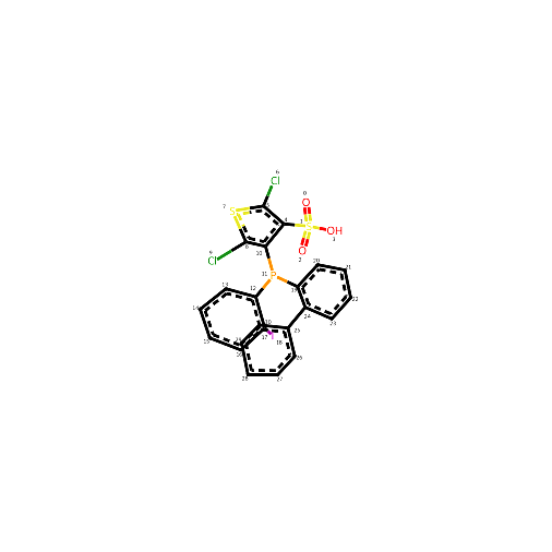 O=S(=O)(O)c1c(Cl)sc(Cl)c1P(c1ccccc1I)c1ccccc1-c1ccccc1